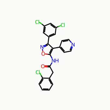 O=C(Cc1ccccc1Cl)Nc1onc(-c2cc(Cl)cc(Cl)c2)c1-c1ccncc1